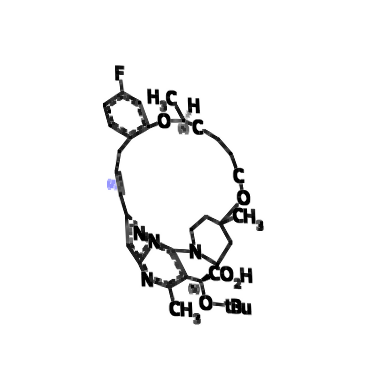 Cc1nc2cc3nn2c(c1[C@H](OC(C)(C)C)C(=O)O)N1CCC(C)(CC1)OCCCC[C@H](C)Oc1cc(F)ccc1C/C=C\3